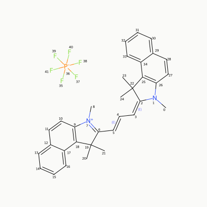 CN1/C(=C/C=C/C2=[N+](C)c3ccc4ccccc4c3C2(C)C)C(C)(C)c2c1ccc1ccccc21.F[P-](F)(F)(F)(F)F